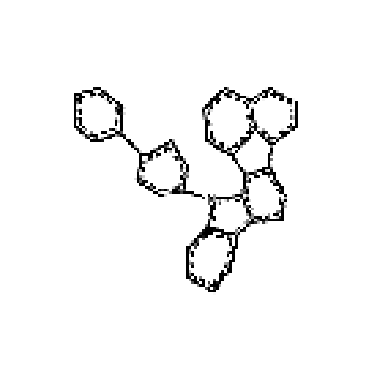 c1ccc(-c2ccc(-n3c4ccccc4c4ccc5c(c43)-c3cccc4cccc-5c34)cc2)cc1